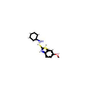 COc1ccc2nc(SNC3CCCCC3)sc2c1